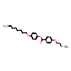 C=CCCCCCCOc1ccc(OC(=O)c2ccc(OCCC[C@@H](C)CC)cc2)cc1